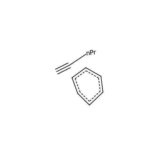 C#CCCC.c1ccccc1